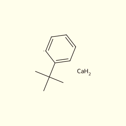 CC(C)(C)c1[c]cccc1.[CaH2]